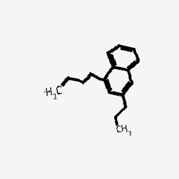 [CH2]CCCc1cc(CCC)cc2ccccc12